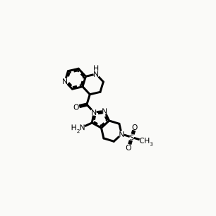 CS(=O)(=O)N1CCc2c(nn(C(=O)C3CCNc4ccncc43)c2N)C1